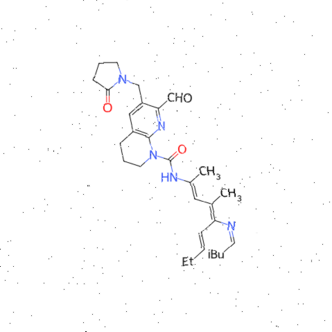 CC/C=C/C(/N=C\C(C)CC)=C(C)\C=C(/C)NC(=O)N1CCCc2cc(CN3CCCC3=O)c(C=O)nc21